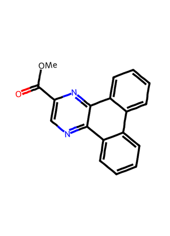 COC(=O)c1cnc2c3ccccc3c3ccccc3c2n1